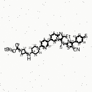 CCc1nc2ccc(-c3ccc(N4CCC(NC5CN(C(=O)OC(C)(C)C)C5)CC4)nc3)cn2c1N(C)c1nc(-c2ccc(F)cc2)c(C#N)s1